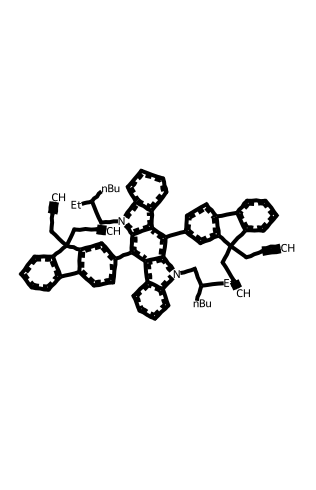 C#CCC1(CC#C)c2ccccc2-c2ccc(-c3c4c5ccccc5n(CC(CC)CCCC)c4c(-c4ccc5c(c4)C(CC#C)(CC#C)c4ccccc4-5)c4c5ccccc5n(CC(CC)CCCC)c34)cc21